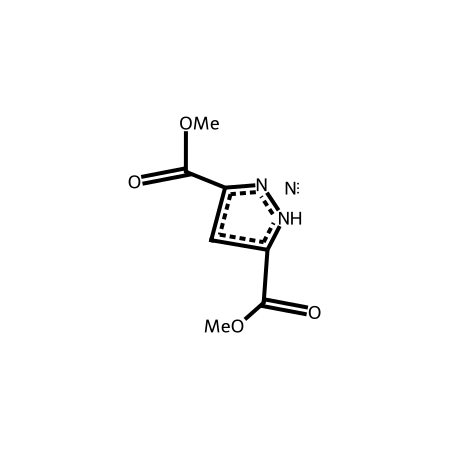 COC(=O)c1cc(C(=O)OC)[nH]n1.[N]